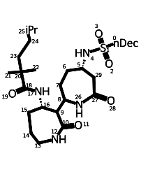 CCCCCCCCCCS(=O)(=O)N[C@H]1CCC(C2C(=O)NCCC[C@@H]2NC(=O)C(C)(C)CCC(C)C)NC(=O)C1